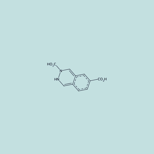 O=C(O)c1ccc2c(c1)=CN(C(=O)O)NC=2